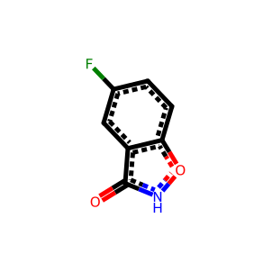 O=c1[nH]oc2ccc(F)cc12